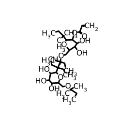 C=CC(=O)OC1C(O)C(O)C(COC(C)(CC)C(CC)(CC)C2OC(COC(C)(C)CC)C(O)C(O)C2O)OC1C(C)(C)CC